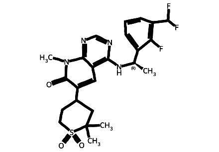 C[C@@H](Nc1ncnc2c1cc(C1CCS(=O)(=O)C(C)(C)C1)c(=O)n2C)c1cccc(C(F)F)c1F